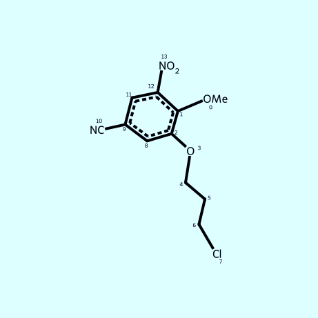 COc1c(OCCCCl)cc(C#N)cc1[N+](=O)[O-]